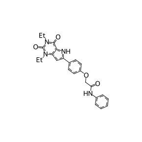 CCn1c(=O)c2[nH]c(-c3ccc(OCC(=O)Nc4ccccc4)cc3)cc2n(CC)c1=O